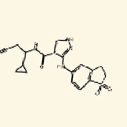 N#CCC(NC(=O)c1c[nH]nc1Nc1ccc2c(c1)CCS2(=O)=O)C1CC1